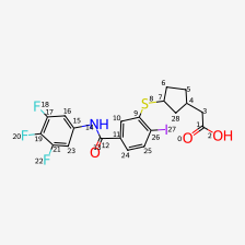 O=C(O)CC1CCC(Sc2cc(C(=O)Nc3cc(F)c(F)c(F)c3)ccc2I)C1